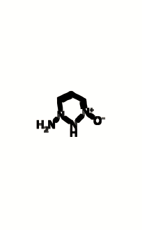 NN1C=CC=[N+]([O-])N1